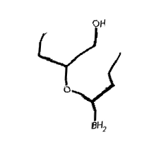 BC(CC)OC(CC)CO